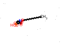 CCCCCCCCCCCCCCCCOc1nc2ccc(S(=O)(=O)O)cc2c(=O)o1